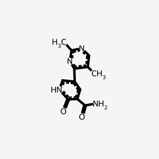 Cc1ncc(C)c(-c2c[nH]c(=O)c(C(N)=O)c2)n1